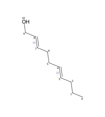 CCC/C=C/CC/C=C/CO